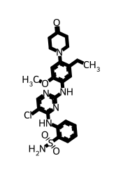 CCc1cc(Nc2ncc(Cl)c(Nc3ccccc3S(N)(=O)=O)n2)c(OC)cc1N1CCC(=O)CC1